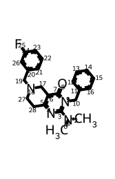 CN(C)c1nc2c(c(=O)n1Cc1ccccc1)CN(Cc1cccc(F)c1)CC2